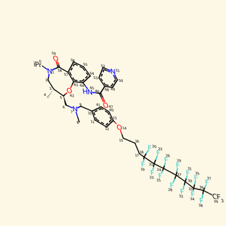 CC(C)N1C[C@@H](C)[C@H](CN(C)Cc2ccc(OCCCC(F)(F)C(F)(F)C(F)(F)C(F)(F)C(F)(F)C(F)(F)C(F)(F)C(F)(F)F)cc2)Oc2c(NC(=O)c3ccncc3)cccc2C1=O